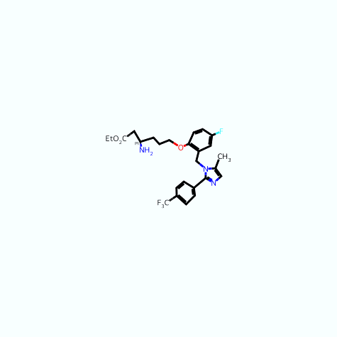 CCOC(=O)C[C@H](N)CCCOc1ccc(F)cc1Cn1c(C)cnc1-c1ccc(C(F)(F)F)cc1